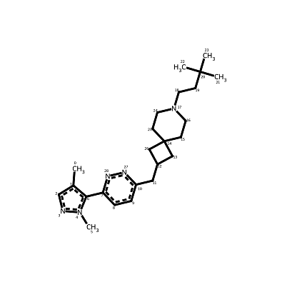 Cc1cnn(C)c1-c1ccc(CC2CC3(CCN(CCC(C)(C)C)CC3)C2)nn1